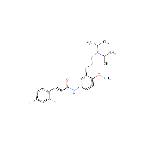 COc1ccc(NC(=O)/C=C/c2ccc(F)cc2F)cc1CCCN(C(C)C)C(C)C